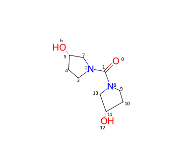 O=C(N1CC[C@H](O)C1)N1CC[C@H](O)C1